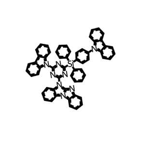 c1ccc([Si](c2ccccc2)(c2ccc(-n3c4ccccc4c4ccccc43)cc2)c2nc(-n3c4ccccc4c4ccccc43)nc(-n3c4ccccc4n4c5ccccc5nc34)n2)cc1